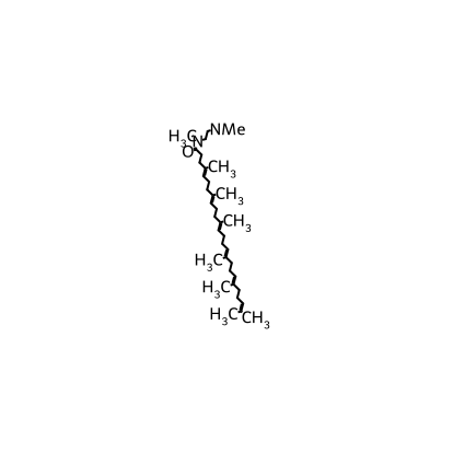 CNCCN(C)C(=O)CC/C(C)=C/CC/C(C)=C/CC/C(C)=C/CC/C=C(\C)CC/C=C(\C)CCC=C(C)C